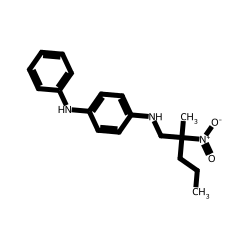 CCCC(C)(CNc1ccc(Nc2ccccc2)cc1)[N+](=O)[O-]